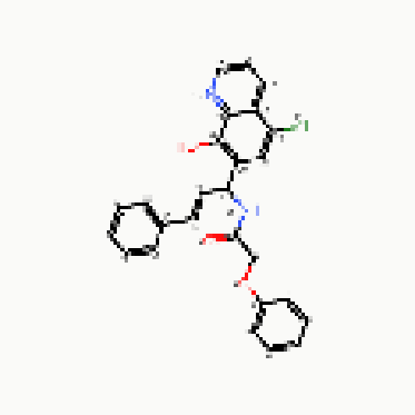 O=C(COc1ccccc1)NC(/C=C/c1ccccc1)c1cc(Cl)c2cccnc2c1O